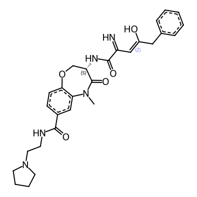 CN1C(=O)[C@@H](NC(=O)C(=N)/C=C(\O)Cc2ccccc2)COc2ccc(C(=O)NCCN3CCCC3)cc21